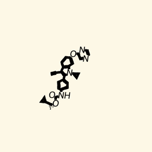 C#Cc1c(-c2ccc(NC(=O)O[C@H](C)C3CC3)cc2)n(C2CC2)c2cc(Oc3cnccn3)ccc12